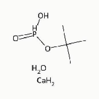 CC(C)(C)O[PH](=O)O.O.[CaH2]